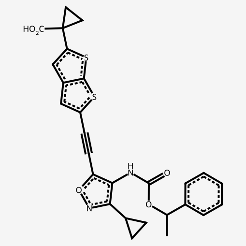 CC(OC(=O)Nc1c(C2CC2)noc1C#Cc1cc2cc(C3(C(=O)O)CC3)sc2s1)c1ccccc1